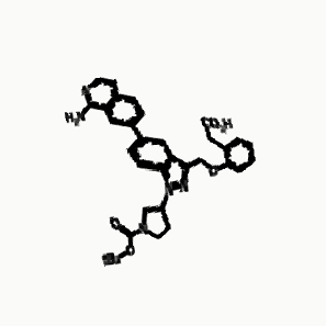 CC(C)(C)OC(=O)N1CCC(n2nc(COc3ccccc3CC(=O)O)c3cc(-c4ccc5ccnc(N)c5c4)ccc32)C1